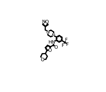 O=C(Nc1cc(C(F)(F)F)ccc1N1CCN(Cc2cnoc2)CC1)c1ccc(C2CCOCC2)o1